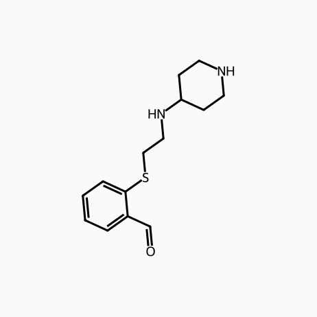 O=Cc1ccccc1SCCNC1CCNCC1